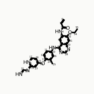 C=CC(=O)Nc1cc2c(Nc3ccc(Oc4cc[nH]/c(=N\C=N)c4)c(C)c3)ncnc2cc1OCC